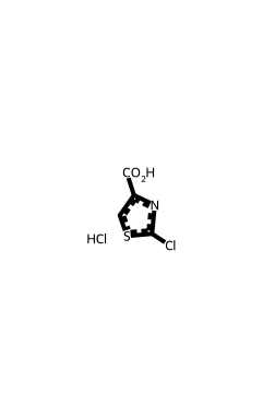 Cl.O=C(O)c1csc(Cl)n1